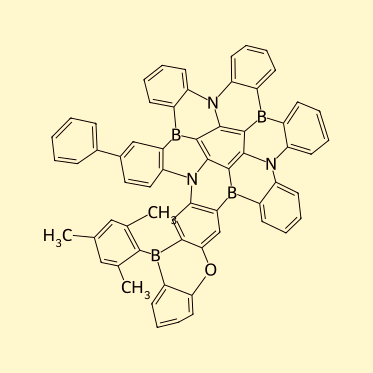 Cc1cc(C)c(B2c3ccccc3Oc3cc4c(cc32)N2c3ccc(-c5ccccc5)cc3B3c5ccccc5N5c6ccccc6B6c7ccccc7N7c8ccccc8B4c4c7c6c5c3c42)c(C)c1